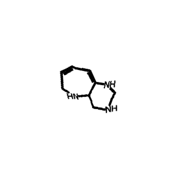 C1=CCNC2CNCNC2=C1